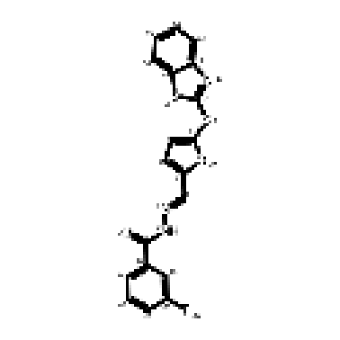 O=C(N/N=C/c1ccc(Sc2nc3ccccc3s2)o1)c1cccc(F)c1